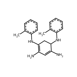 Cc1ccccc1NC1=C(N)C=C(N)C(Nc2ccccc2C)C1